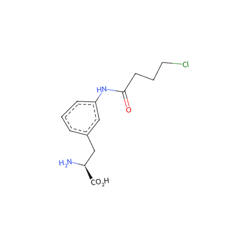 N[C@@H](Cc1cccc(NC(=O)CCCCl)c1)C(=O)O